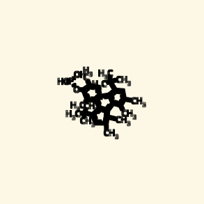 Cc1cc2c(c(C)c1OP(O)O)c1c(C(C)(C)C)cc(C)c(C)c1c1c(C)c(C)cc(C(C)(C)C)c21